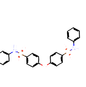 O=S(=O)(Nc1ccccc1)c1ccc(Oc2ccc(S(=O)(=O)Nc3ccccc3)cc2)cc1